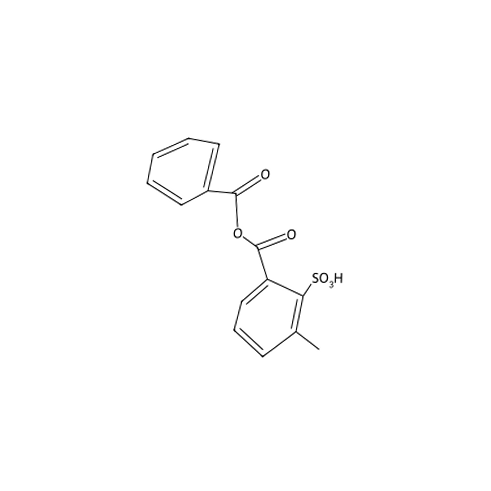 Cc1cccc(C(=O)OC(=O)c2ccccc2)c1S(=O)(=O)O